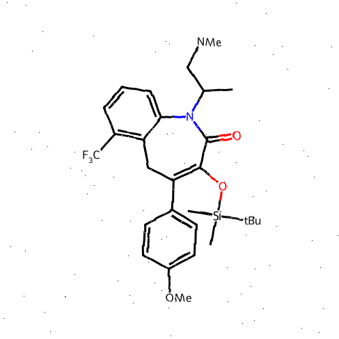 CNCC(C)N1C(=O)C(O[Si](C)(C)C(C)(C)C)=C(c2ccc(OC)cc2)Cc2c1cccc2C(F)(F)F